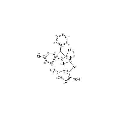 CC(C)C1=C(C(=O)O)SC2=NC(C)(Cc3ccccc3)C(c3ccc(Cl)cc3)N21